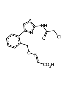 O=C(O)C=NOCc1ccccc1-c1csc(NC(=O)CCl)n1